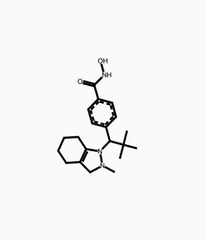 CN1CC2=C(CCCC2)N1C(c1ccc(C(=O)NO)cc1)C(C)(C)C